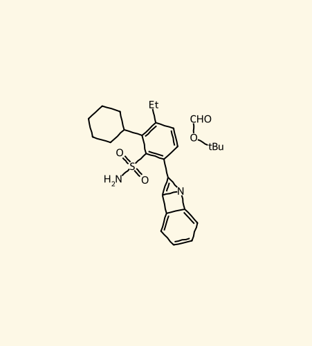 CC(C)(C)OC=O.CCc1ccc(-c2c3c4ccccc4n2-3)c(S(N)(=O)=O)c1C1CCCCC1